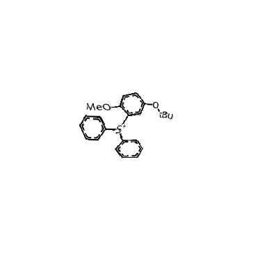 COc1ccc(OC(C)(C)C)cc1[S+](c1ccccc1)c1ccccc1